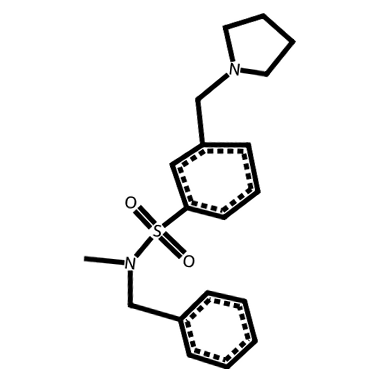 CN(Cc1ccccc1)S(=O)(=O)c1cccc(CN2CCCC2)c1